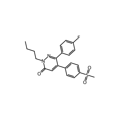 CCCCn1nc(-c2ccc(F)cc2)c(-c2ccc(S(C)(=O)=O)cc2)cc1=O